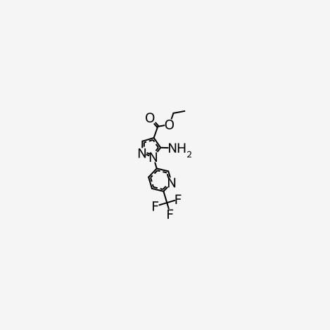 CCOC(=O)c1cnn(-c2ccc(C(F)(F)F)nc2)c1N